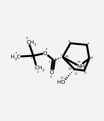 CC(C)(C)OC(=O)[C@@]12CCC(C[C@@H]1O)N2